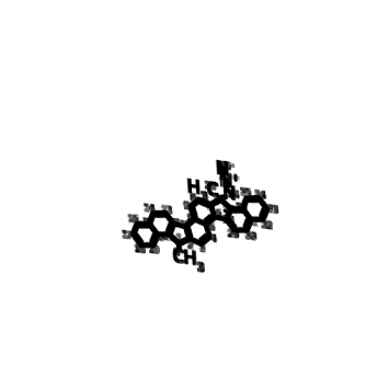 CC1c2ccc3c4c(ccc3c2-c2ccc3ccccc3c21)C(C)(N=[N+]=[N-])c1c-4ccc2ccccc12